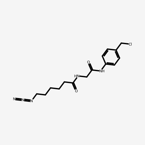 [N-]=[N+]=NCCCCCC(=O)NCC(=O)Nc1ccc(CCl)cc1